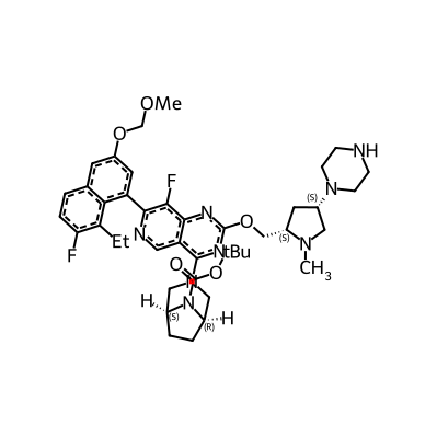 CCc1c(F)ccc2cc(OCOC)cc(-c3ncc4c(N5C[C@H]6CC[C@@H](C5)N6C(=O)OC(C)(C)C)nc(OC[C@@H]5C[C@H](N6CCNCC6)CN5C)nc4c3F)c12